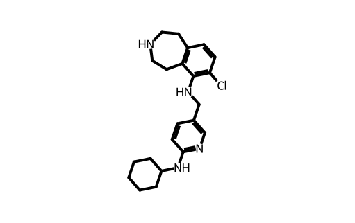 Clc1ccc2c(c1NCc1ccc(NC3CCCCC3)nc1)CCNCC2